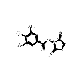 Cc1cc(C(=O)ON2C(=O)CCC2=O)cc(C)c1C